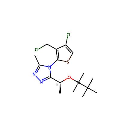 Cc1nnc([C@H](C)O[Si](C)(C)C(C)(C)C)n1-c1scc(Cl)c1CCl